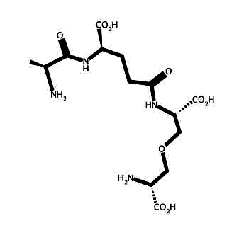 C[C@H](N)C(=O)N[C@H](CCC(=O)N[C@@H](COC[C@@H](N)C(=O)O)C(=O)O)C(=O)O